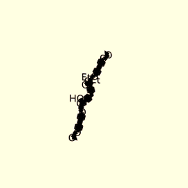 CCC(CC)(COc1ccc(C(C)(C)c2ccc(OCC3CO3)cc2)cc1)C1CN(c2ccc(Cc3ccc(N4CC(C(C)(C)COc5ccc(C(C)(C)c6ccc(OCC7CO7)cc6)cc5)OC4O)cc3)cc2)C(=O)O1